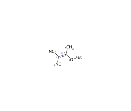 [C-]#[N+]/C(C#N)=C(/C)OCC